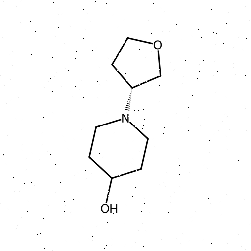 OC1CCN([C@@H]2CCOC2)CC1